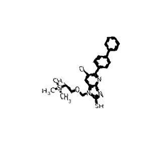 C[Si](C)(C)CCOCn1c(S)nc2nc(-c3ccc(-c4ccccc4)cc3)c(Cl)cc21